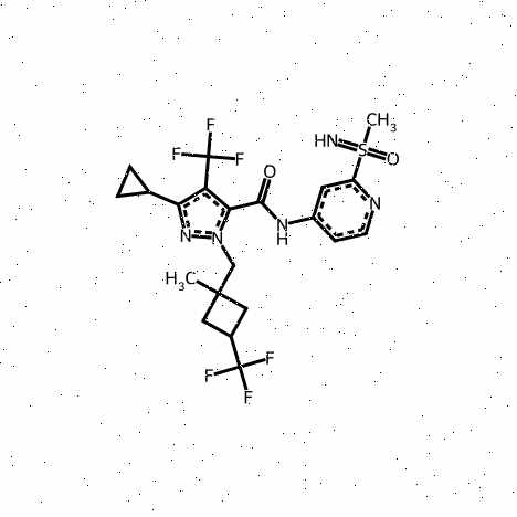 CC1(Cn2nc(C3CC3)c(C(F)(F)F)c2C(=O)Nc2ccnc(S(C)(=N)=O)c2)CC(C(F)(F)F)C1